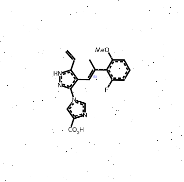 C=Cc1[nH]nc(-n2cnc(C(=O)O)c2)c1/C=C(\C)c1c(F)cccc1OC